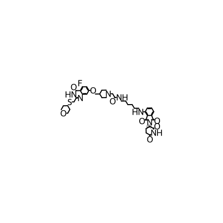 O=C(CN1CCC(COc2cc(F)c3c(=O)[nH]c(CSC4CCOCC4)nc3c2)CC1)NCCCCCCNc1cccc2c1C(=O)N([C@H]1CCC(=O)NC1=O)C2=O